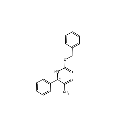 NC(=O)[C@H](NC(=O)OCc1ccccc1)c1ccccc1